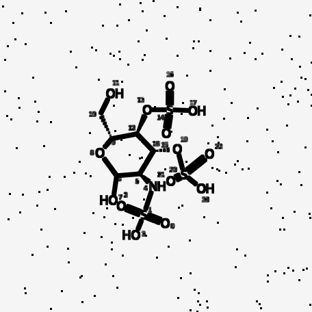 O=S(=O)(O)N[C@H]1C(O)O[C@H](CO)[C@@H](OS(=O)(=O)O)[C@@H]1OS(=O)(=O)O